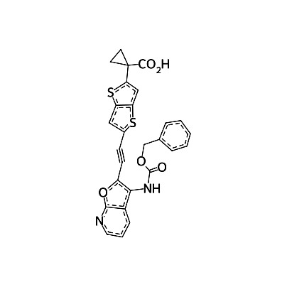 O=C(Nc1c(C#Cc2cc3sc(C4(C(=O)O)CC4)cc3s2)oc2ncccc12)OCc1ccccc1